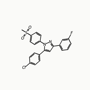 CS(=O)(=O)c1ccc(-n2nc(-c3cccc(F)c3)cc2-c2ccc(Cl)cc2)cc1